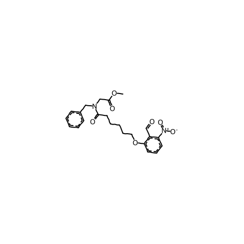 COC(=O)CN(Cc1ccccc1)C(=O)CCCCCOc1cccc([N+](=O)[O-])c1C=O